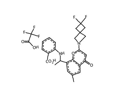 Cc1cc(C(C)Nc2ccccc2C(=O)O)c2oc(N3CC4(C3)CC(F)(F)C4)cc(=O)c2c1.O=C(O)C(F)(F)F